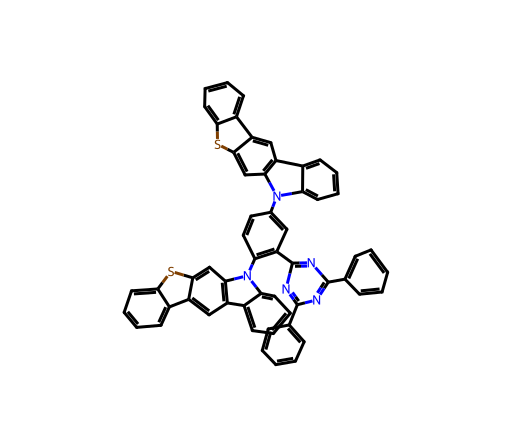 c1ccc(-c2nc(-c3ccccc3)nc(-c3cc(-n4c5ccccc5c5cc6c(cc54)sc4ccccc46)ccc3-n3c4ccccc4c4cc5c(cc43)sc3ccccc35)n2)cc1